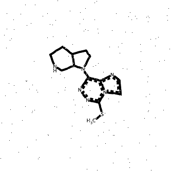 CSc1nnc(N2CCC3CCNCC32)c2nccn12